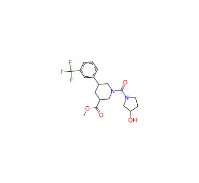 COC(=O)C1CC(c2cccc(C(F)(F)F)c2)CN(C(=O)N2CCC(O)C2)C1